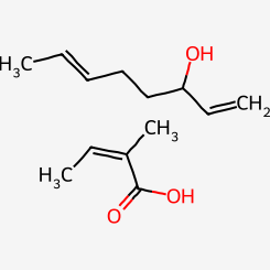 C=CC(O)CCC=CC.CC=C(C)C(=O)O